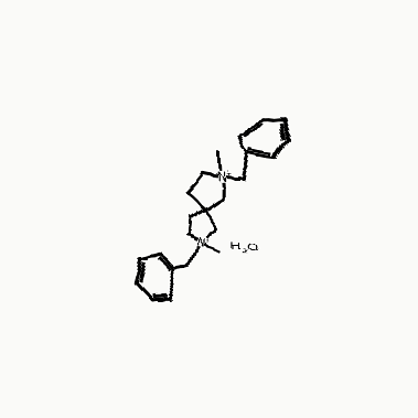 C[N+]1(Cc2ccccc2)CCC2(CC[N+](C)(Cc3ccccc3)C2)C1.O